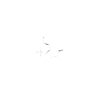 CC(Br)C(=O)O.NC1=CC=CC(Cl)(Cl)C1